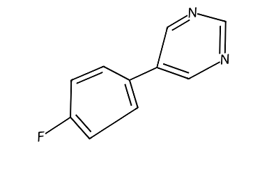 Fc1ccc(-c2cncnc2)cc1